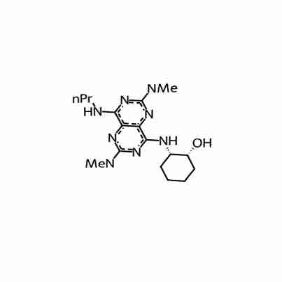 CCCNc1nc(NC)nc2c(N[C@H]3CCCC[C@H]3O)nc(NC)nc12